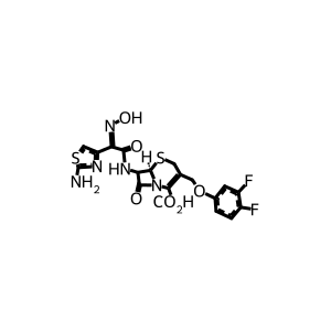 Nc1nc(/C(=N/O)C(=O)NC2C(=O)N3C(C(=O)O)=C(COc4ccc(F)c(F)c4)CS[C@H]23)cs1